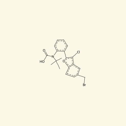 CC(C)(C)N(C(=O)O)c1ccccc1-c1oc2ccc(CBr)cc2c1Cl